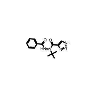 CC(C)(C)N(NC(=O)c1ccccc1)C(=O)c1c[nH]nn1